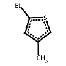 CCc1[c]c(C)cs1